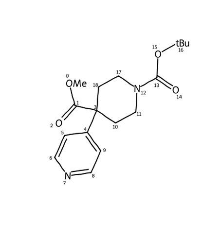 COC(=O)C1(c2ccncc2)CCN(C(=O)OC(C)(C)C)CC1